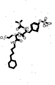 CN(C)C(=O)N[C@@H](Cc1ccc(OP(=O)(O)O)cc1)C(=O)N[C@@H](CCC(=O)O)C(=O)NCCCCC1CCCCC1